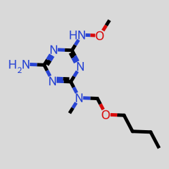 CCCCOCN(C)c1nc(N)nc(NOC)n1